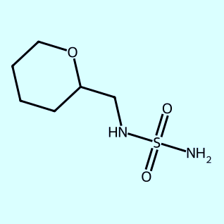 NS(=O)(=O)NCC1CCCCO1